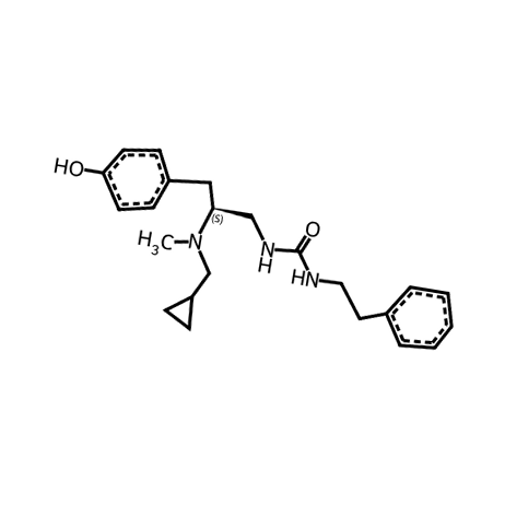 CN(CC1CC1)[C@H](CNC(=O)NCCc1ccccc1)Cc1ccc(O)cc1